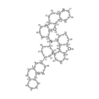 c1ccc2c(c1)ccc1cc(-c3ccc(N(c4cccc5c4oc4c6ccccc6ccc54)c4cccc5oc6ccccc6c45)cc3)ccc12